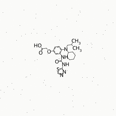 CC(C)CN(c1ccc(OCC(=O)O)cc1NC(=O)Nc1nncs1)C1CCCCC1